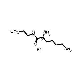 NCCCC[C@H](N)C(=O)NCCC(=O)[O-].[K+]